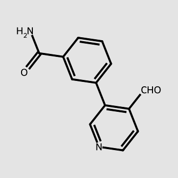 NC(=O)c1cccc(-c2cnccc2C=O)c1